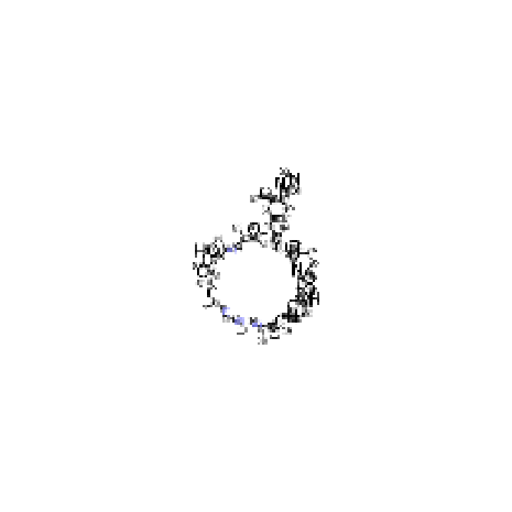 COC1C(=O)C(C)C[C@H](C)/C=C/C=C/C=C(\C)[C@@H](OC)C[C@@H]2CC[C@@H](C)[C@@](O)(O2)C(=O)C(=O)N2CCCC[C@H]2C(=O)O[C@H]([C@H](C)C[C@@H]2CC[C@H](n3ncnn3)[C@H](OC)C2)CC(=O)C(C)/C=C(\C)[C@H]1O